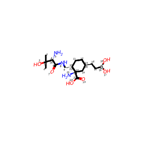 CC(C)(O)[C@H](N)C(=O)NC[C@@H]1CC[C@@H](CCB(O)O)C[C@]1(N)C(=O)O